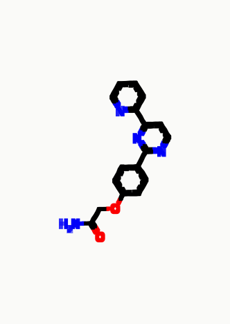 NC(=O)COc1ccc(-c2nccc(-c3ccccn3)n2)cc1